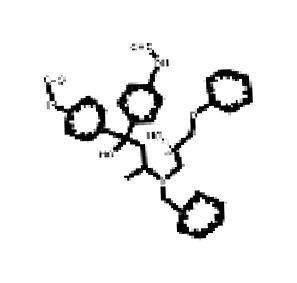 CC(CC(O)(c1ccc(NC=O)cc1)c1ccc(NC=O)cc1)N(Cc1ccccc1)C[C@H](O)COc1ccccc1